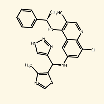 Cc1ncsc1[C@H](Nc1cc(Cl)c2ncc(C#N)c(N[C@H](C)c3ccccc3)c2c1)c1c[nH]nn1